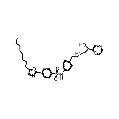 CCCCCCCCc1cnc(-c2ccc(S(=O)(=O)Nc3ccc(CCNCC(O)c4cccnc4)cc3)cc2)o1